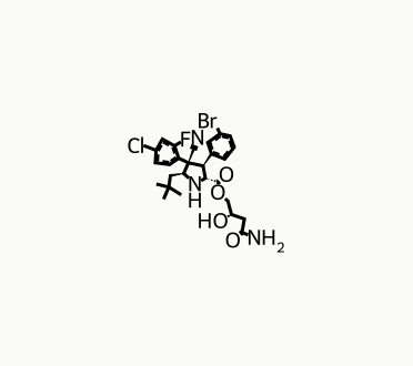 CC(C)(C)C[C@@H]1N[C@@H](C(=O)OC[C@@H](O)CC(N)=O)[C@H](c2cccc(Br)c2)[C@@]1(C#N)c1ccc(Cl)cc1F